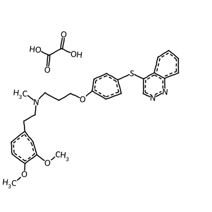 COc1ccc(CCN(C)CCCOc2ccc(Sc3cnnc4ccccc34)cc2)cc1OC.O=C(O)C(=O)O